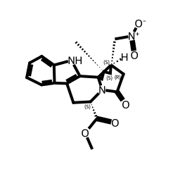 COC(=O)[C@@H]1Cc2c([nH]c3ccccc23)C23C[C@H](C)[C@@H](C[N+](=O)[O-])[C@@H]2CC(=O)N13